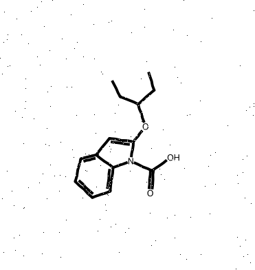 CCC(CC)Oc1cc2ccccc2n1C(=O)O